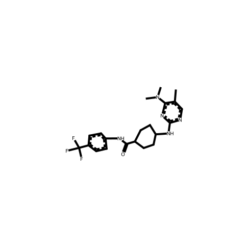 Cc1cnc(NC2CCC(C(=O)Nc3ccc(C(F)(F)F)cc3)CC2)nc1N(C)C